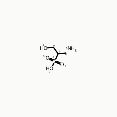 CC(CO)S(=O)(=O)O.N